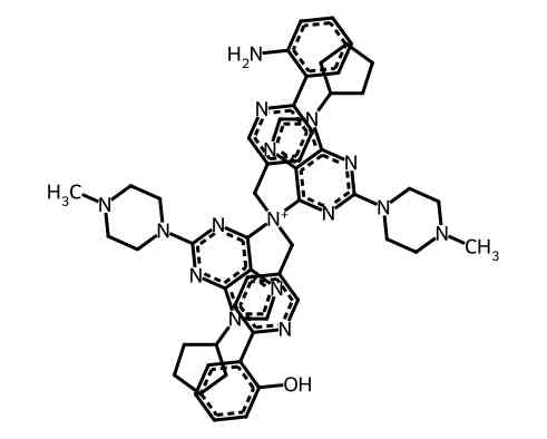 CN1CCN(c2nc([N+](Cc3ccc(-c4ccccc4N)nc3)(Cc3ccc(-c4ccccc4O)nc3)c3nc(N4CCN(C)CC4)nc4c3ncn4C3CCCC3)c3ncn(C4CCCC4)c3n2)CC1